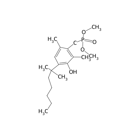 CCCCCC(C)(C)c1cc(C)c(CP(=O)(OC)OC)c(C)c1O